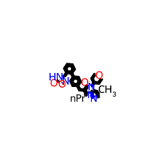 CCCc1c(Cc2ccc(-c3ccccc3-c3noc(=O)[nH]3)cc2)c(=O)n(C2CCOCC2)c2c(C)cnn12